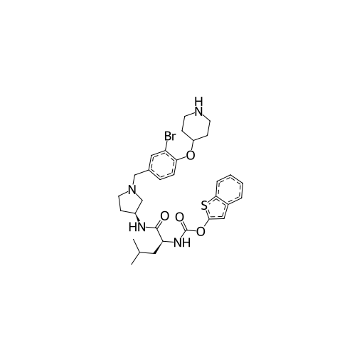 CC(C)C[C@H](NC(=O)Oc1cc2ccccc2s1)C(=O)N[C@H]1CCN(Cc2ccc(OC3CCNCC3)c(Br)c2)C1